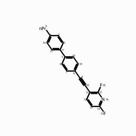 CCCc1ccc(-c2ccc(C#Cc3ccc(F)nc3F)cc2)cc1